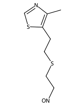 Cc1ncsc1CCSCCN=O